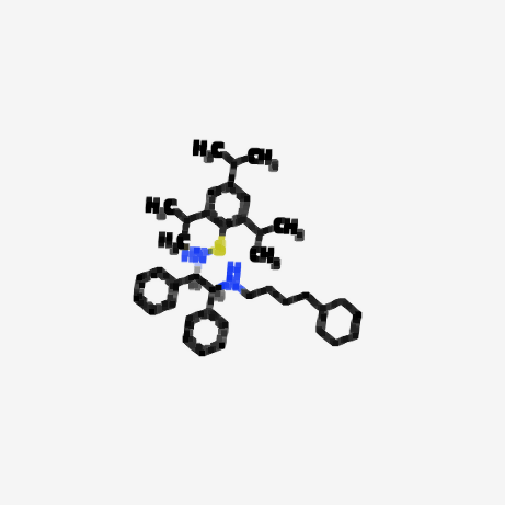 CC(C)c1cc(C(C)C)c(SN[C@@H](c2ccccc2)[C@@H](NCCCCC2=CCC=CC2)c2ccccc2)c(C(C)C)c1